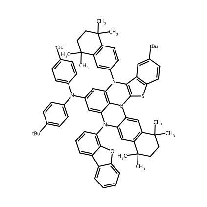 CC(C)(C)c1ccc(N(c2ccc(C(C)(C)C)cc2)c2cc3c4c(c2)N(c2cccc5c2oc2ccccc25)c2cc5c(cc2B4c2sc4ccc(C(C)(C)C)cc4c2N3c2ccc3c(c2)C(C)(C)CCC3(C)C)C(C)(C)CCC5(C)C)cc1